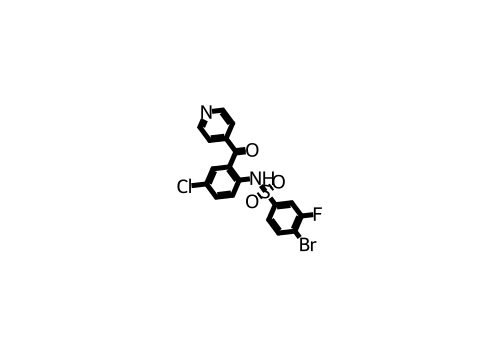 O=C(c1ccncc1)c1cc(Cl)ccc1NS(=O)(=O)c1ccc(Br)c(F)c1